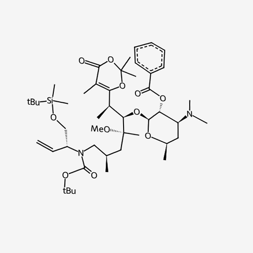 C=C[C@H](CO[Si](C)(C)C(C)(C)C)N(C[C@H](C)C[C@@](C)(OC)[C@H](O[C@@H]1O[C@H](C)C[C@H](N(C)C)[C@H]1OC(=O)c1ccccc1)[C@@H](C)C1=C(C)C(=O)OC(C)(C)O1)C(=O)OC(C)(C)C